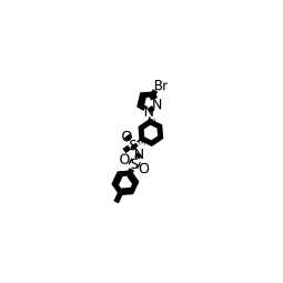 Cc1ccc(S(=O)(=O)N=S(C)(=O)[C@H]2CCC[C@@H](n3ccc(Br)n3)C2)cc1